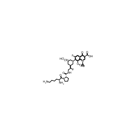 COc1c(N2CCCC(=C(F)CNC(=O)[C@@H]3CCCN3C(=O)[C@@H](N)CCCCN)C2)c(F)cc2c(=O)c(C(=O)O)cn(C3CC3)c12.Cl.Cl